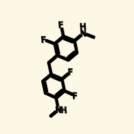 CNc1ccc(Cc2ccc(NC)c(F)c2F)c(F)c1F